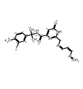 C=N/C=C\C=N/Cc1nc(C(=O)NC(C)(C)c2ccc(C(F)(F)F)c(F)c2)cc(=O)[nH]1